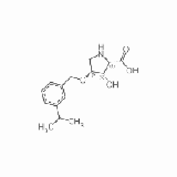 CC(C)c1cccc(CO[C@H]2CN[C@H](C(=O)O)[C@@H]2O)c1